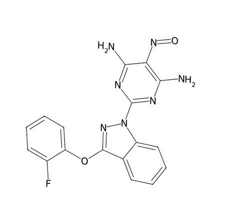 Nc1nc(-n2nc(Oc3ccccc3F)c3ccccc32)nc(N)c1N=O